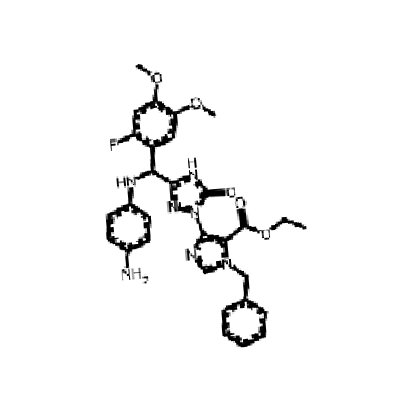 CCOC(=O)c1c(-n2nc(C(Nc3ccc(N)cc3)c3cc(OC)c(OC)cc3F)[nH]c2=O)ncn1Cc1ccccc1